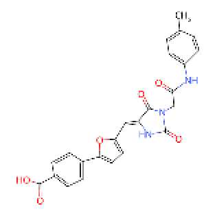 Cc1ccc(NC(=O)CN2C(=O)N/C(=C\c3ccc(-c4ccc(C(=O)O)cc4)o3)C2=O)cc1